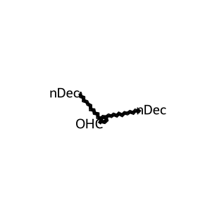 CCCCCCCCCCCCCCCCCCCCCCc1ccc(C=O)c(CCCCCCCCCCCCCCCCCCCCCC)c1